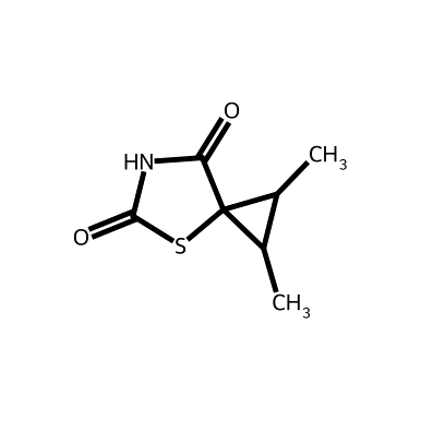 CC1C(C)C12SC(=O)NC2=O